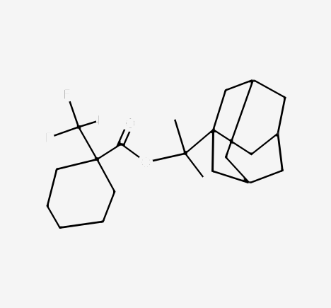 CC(C)(OC(=O)C1(C(F)(F)F)CCCCC1)C12CC3CC(CC(C3)C1)C2